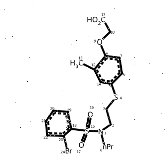 CCCN(CCSc1ccc(OCC(=O)O)c(C)c1)S(=O)(=O)c1ccccc1Br